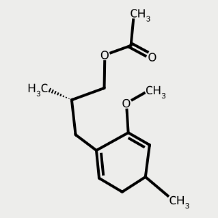 COC1=CC(C)CC=C1C[C@H](C)COC(C)=O